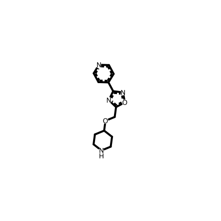 c1cc(-c2noc(COC3CCNCC3)n2)ccn1